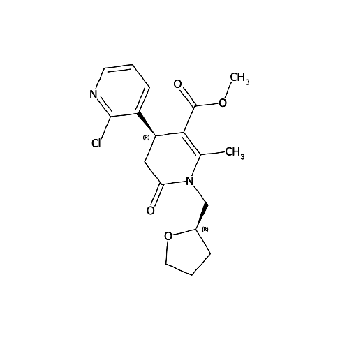 COC(=O)C1=C(C)N(C[C@H]2CCCO2)C(=O)C[C@H]1c1cccnc1Cl